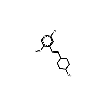 COc1cnc(Cl)cc1/C=C/C1CCC(C(F)(F)F)CC1